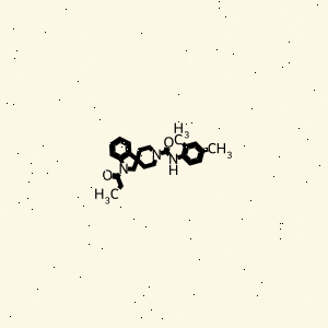 CCC(=O)N1CC2(CCN(C(=O)Nc3ccc(C)cc3C)CC2)c2ccccc21